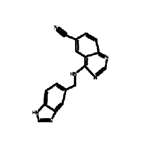 N#Cc1ccc2ncnc(NCc3ccc4[nH]cnc4c3)c2c1